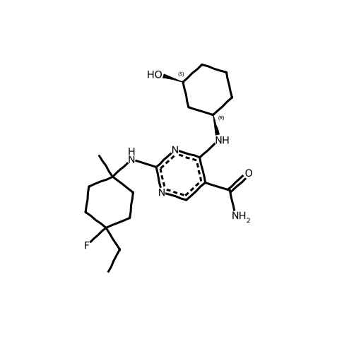 CCC1(F)CCC(C)(Nc2ncc(C(N)=O)c(N[C@@H]3CCC[C@H](O)C3)n2)CC1